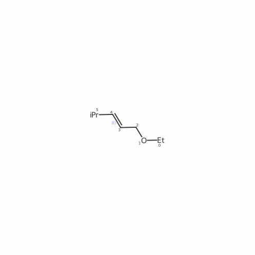 CCOC/C=C/C(C)C